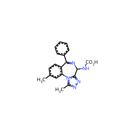 Cc1ccc2c(c1)-n1c(C)nnc1C(NC(=O)O)N=C2c1ccccc1